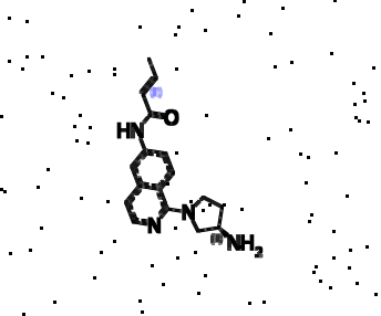 C/C=C/C(=O)Nc1ccc2c(N3CC[C@@H](N)C3)nccc2c1